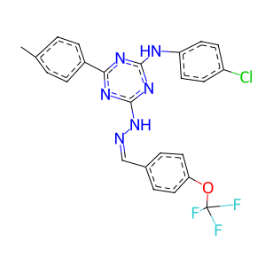 Cc1ccc(-c2nc(N/N=C\c3ccc(OC(F)(F)F)cc3)nc(Nc3ccc(Cl)cc3)n2)cc1